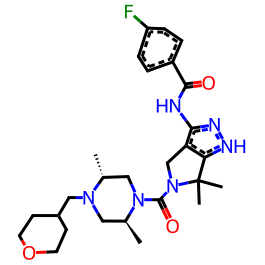 C[C@@H]1CN(C(=O)N2Cc3c(NC(=O)c4ccc(F)cc4)n[nH]c3C2(C)C)[C@@H](C)CN1CC1CCOCC1